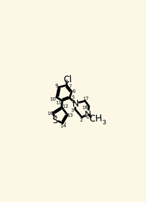 CN1CCN(c2cc(Cl)ccc2-c2c[c]sc2)CC1